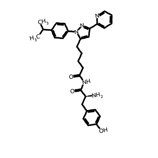 CC(C)c1ccc(-n2nc(-c3ccccn3)cc2CCCCC(=O)NC(=O)[C@@H](N)Cc2ccc(O)cc2)cc1